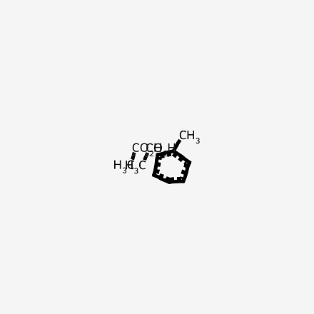 CC(=O)O.CC(=O)O.Cc1ccccc1